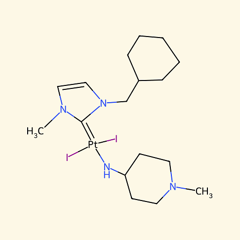 CN1CCC([NH][Pt]([I])([I])=[c]2n(C)ccn2CC2CCCCC2)CC1